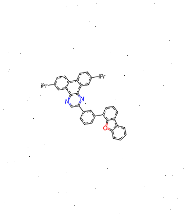 CC(C)c1ccc2c3ccc(C(C)C)cc3c3nc(-c4cccc(-c5cccc6c5oc5ccccc56)c4)cnc3c2c1